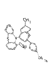 CC1=Cc2c(cc(-c3ccc(C)cc3)cc2N2c3ccccc3Sc3cccc(O)c32)C1